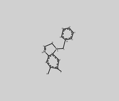 Cc1cc2c(cc1C)N(Cc1ccccc1)CC=N2